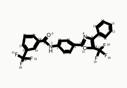 O=C(Nc1ccc(-c2nc(-c3ccccc3)c(C(F)(F)F)o2)cc1)c1cccc(C(F)(F)F)c1